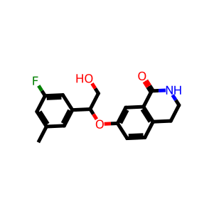 Cc1cc(F)cc(C(CO)Oc2ccc3c(c2)C(=O)NCC3)c1